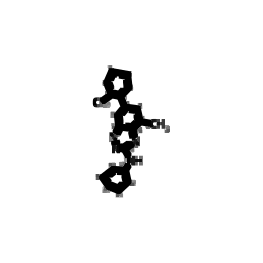 Cc1cc(-c2ccccc2Cl)cc2nnc(Nc3ccccc3)nc12